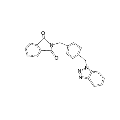 O=C1c2ccccc2C(=O)N1Cc1ccc(Cn2nnc3ccccc32)cc1